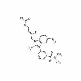 Cc1c(-c2cccc(S(=O)(=O)N(C)C)c2)c2cc(C=O)ccc2n1CC(F)=CCOC(=O)O